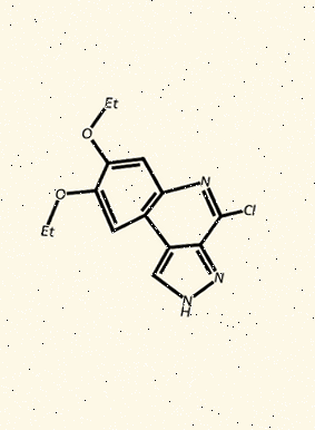 CCOc1cc2nc(Cl)c3n[nH]cc3c2cc1OCC